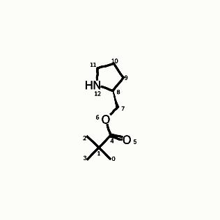 CC(C)(C)C(=O)OC[C@@H]1CCCN1